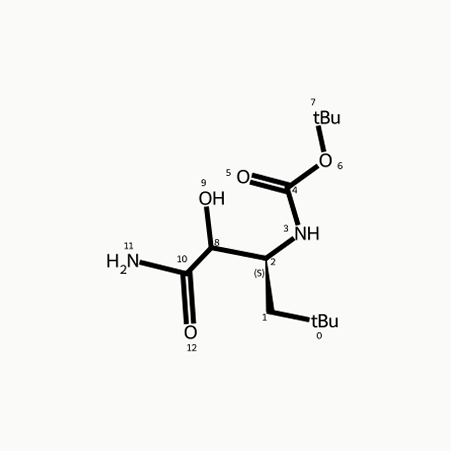 CC(C)(C)C[C@H](NC(=O)OC(C)(C)C)C(O)C(N)=O